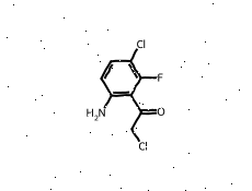 Nc1ccc(Cl)c(F)c1C(=O)CCl